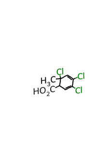 CC1(Cl)C=C(Cl)C(Cl)=CC1C(=O)O